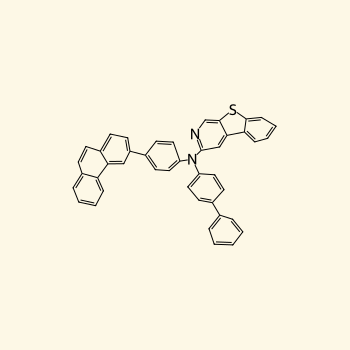 c1ccc(-c2ccc(N(c3ccc(-c4ccc5ccc6ccccc6c5c4)cc3)c3cc4c(cn3)sc3ccccc34)cc2)cc1